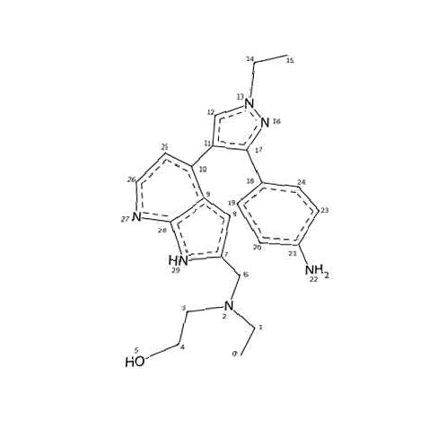 CCN(CCO)Cc1cc2c(-c3cn(CC)nc3-c3ccc(N)cc3)ccnc2[nH]1